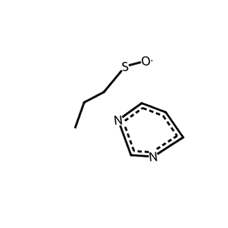 CCCS[O].c1cncnc1